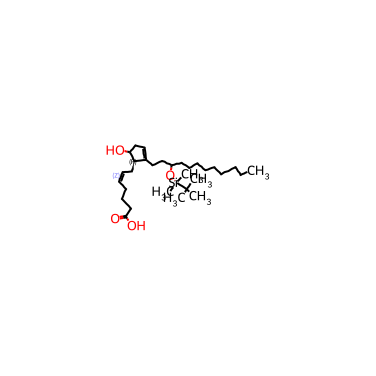 CCCCCCCCCC(CCC1=CCC(O)[C@@H]1C/C=C\CCCC(=O)O)O[Si](C)(C)C(C)(C)C